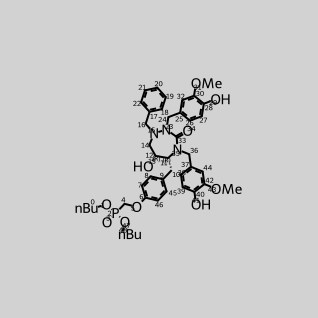 CCCCOP(=O)(COc1ccc(C[C@@H]2[C@H](O)CN(Cc3ccccc3)N(Cc3ccc(O)c(OC)c3)C(=O)N2Cc2ccc(O)c(OC)c2)cc1)OCCCC